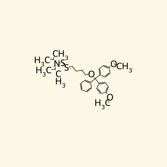 COc1ccc(C(OCCCCSSN(C(C)C)C(C)C)(c2ccccc2)c2ccc(OC)cc2)cc1